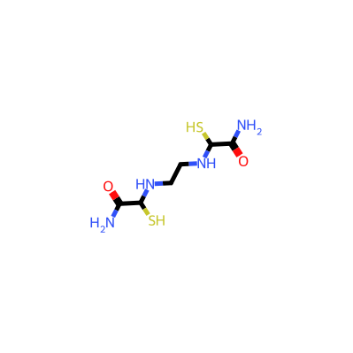 NC(=O)C(S)NCCNC(S)C(N)=O